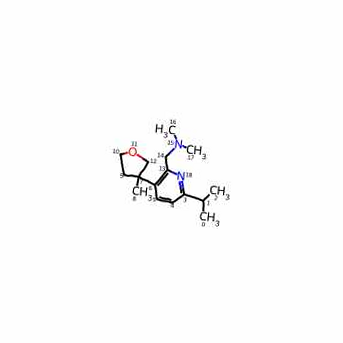 CC(C)c1ccc(C2(C)CCOC2)c(CN(C)C)n1